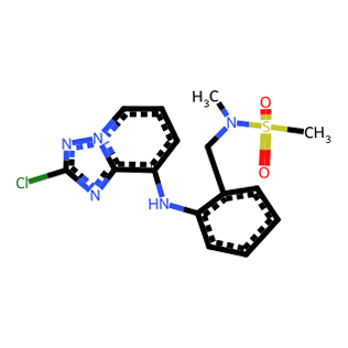 CN(Cc1ccccc1Nc1cccn2nc(Cl)nc12)S(C)(=O)=O